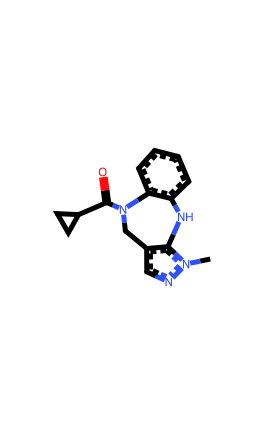 Cn1ncc2c1Nc1ccccc1N(C(=O)C1CC1)C2